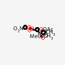 COC(=O)[C@H]1C[C@@H](Oc2ccc(COC(=O)Oc3ccc([N+](=O)[O-])cc3)cc2[N+](=O)[O-])[C@H](OC(C)=O)[C@@H](C)[C@@H]1C